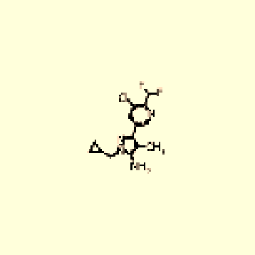 Cc1c(-c2cnc(C(F)F)c(Cl)c2)nn(CC2CC2)c1N